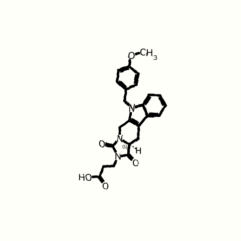 COc1ccc(Cn2c3c(c4ccccc42)C[C@H]2C(=O)N(CCC(=O)O)C(=O)N2C3)cc1